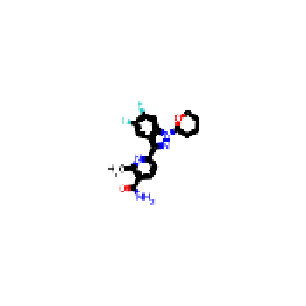 Cc1nc(-c2nn(C3CCCCO3)c3cc(F)c(F)cc23)ccc1C(N)=O